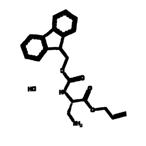 C=CCOC(=O)[C@H](CN)NC(=O)OCC1c2ccccc2-c2ccccc21.Cl